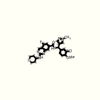 COc1ccc(C(NC(=O)c2cc(F)c3cnc(NC4CCOCC4)nc3c2)c2cnn(C)c2)cc1Cl